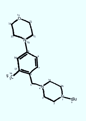 CC(C)(C)N1CCN(Cc2ccc(N3CCOCC3)cc2C(F)(F)F)CC1